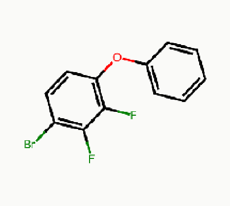 Fc1c(Br)ccc(Oc2ccccc2)c1F